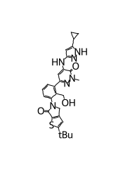 Cn1nc(-c2cccc(N3Cc4cc(C(C)(C)C)sc4C3=O)c2CO)cc(Nc2cc(C3CC3)[nH]n2)c1=O